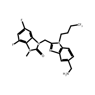 Cn1c(=O)n(Cc2nc3cc(CN)ccc3n2CCCC(F)(F)F)c2cc(F)cc(F)c21